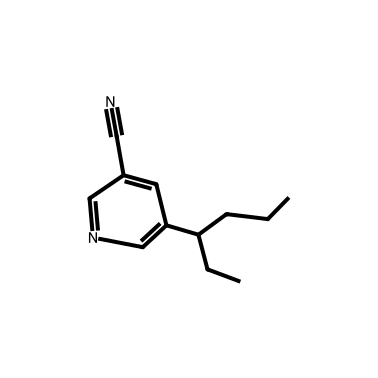 CCCC(CC)c1cncc(C#N)c1